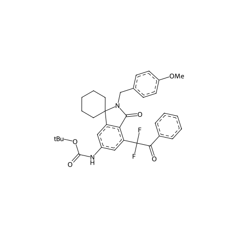 COc1ccc(CN2C(=O)c3c(C(F)(F)C(=O)c4ccccc4)cc(NC(=O)OC(C)(C)C)cc3C23CCCCC3)cc1